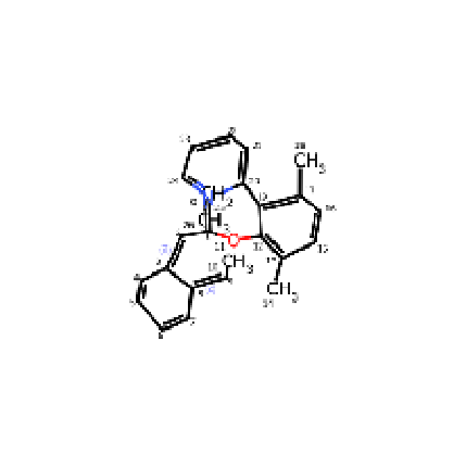 C=C(/C=c1/cccc/c1=C/C)Oc1c(C)ccc(C)c1-c1cccc[n+]1C